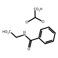 O=C(O)C(Cl)Cl.O=C(O)CNC(=O)c1ccccc1